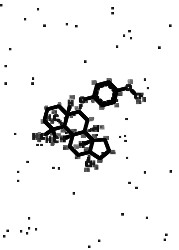 CC1(C)CCC[C@@H]2[C@H](Oc3ccc(OC(F)(F)F)cc3)C[C@H]3[C@@H]4CCC[C@@]4(C)CC[C@@H]3[C@]21C